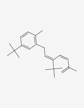 C=C(C)/C=C\C(=C/Cc1cc(C(C)(C)C)ccc1C)C(C)(C)C